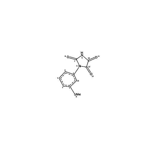 CSc1cccc(N2C(=O)NC(=O)C2=O)c1